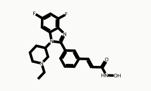 CCN1CCCC(n2c(-c3cccc(/C=C/C(=O)NO)c3)nc3c(F)cc(F)cc32)C1